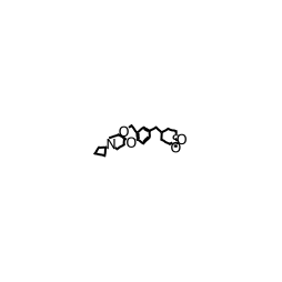 O=S1(=O)CCC(Cc2ccc3c(c2)COC2(CCN(C4CCC4)CC2)O3)CC1